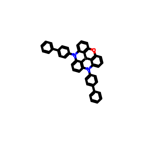 c1ccc(-c2ccc(N3c4cccc5c4B4c6c(cccc6N(c6ccc(-c7ccccc7)cc6)c6cccc3c64)O5)cc2)cc1